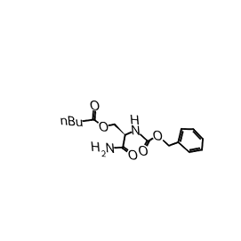 CCCCC(=O)OC[C@@H](NC(=O)OCc1ccccc1)C(N)=O